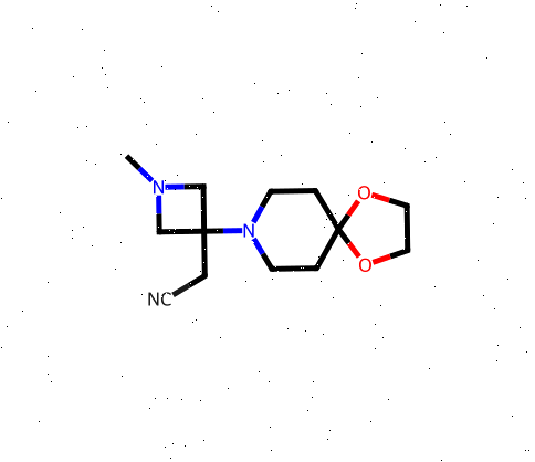 CN1CC(CC#N)(N2CCC3(CC2)OCCO3)C1